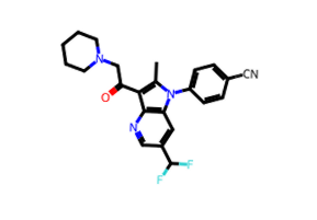 Cc1c(C(=O)CN2CCCCC2)c2ncc(C(F)F)cc2n1-c1ccc(C#N)cc1